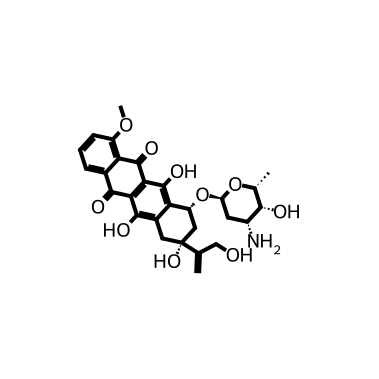 C=C(CO)[C@@]1(O)Cc2c(O)c3c(c(O)c2[C@H](O[C@@H]2C[C@@H](N)[C@@H](O)[C@@H](C)O2)C1)C(=O)c1c(OC)cccc1C3=O